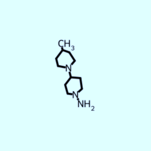 CC1CCN(C2CCN(N)CC2)CC1